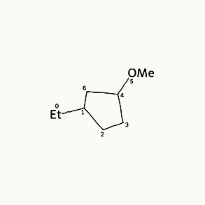 CCC1CCC(OC)C1